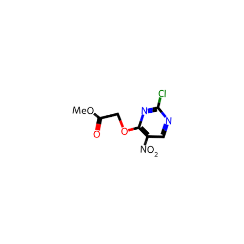 COC(=O)COc1nc(Cl)ncc1[N+](=O)[O-]